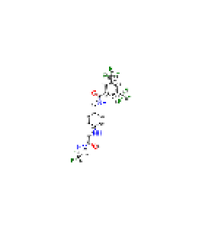 O=C(CN[C@H]1CC[C@H](CNC(=O)c2cc(C(F)(F)F)cc(C(F)(F)F)c2)CC1)NCC(F)(F)F